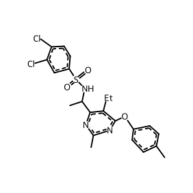 CCc1c(Oc2ccc(C)cc2)nc(C)nc1C(C)NS(=O)(=O)c1ccc(Cl)c(Cl)c1